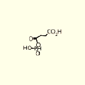 O=C(O)CCC(=O)O[PH](=O)O